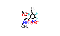 CCN/C=C(/C(=O)OC)C(=O)c1c(F)c(C)c(F)c(F)c1[N+](=O)[O-]